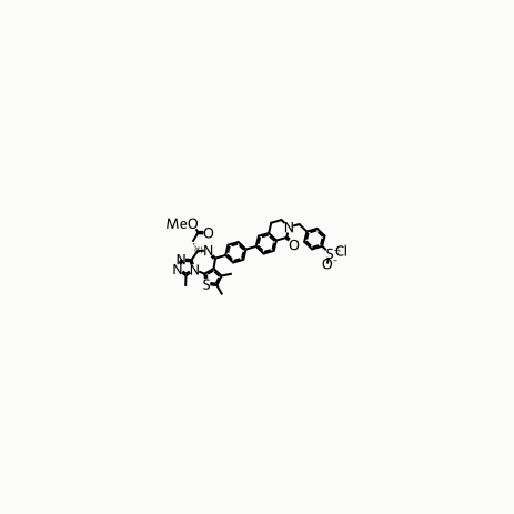 COC(=O)C[C@@H]1N=C(c2ccc(-c3ccc4c(c3)CCN(Cc3ccc([S+]([O-])Cl)cc3)C4=O)cc2)c2c(sc(C)c2C)-n2c(C)nnc21